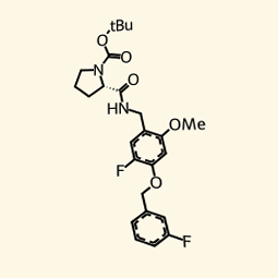 COc1cc(OCc2cccc(F)c2)c(F)cc1CNC(=O)[C@@H]1CCCN1C(=O)OC(C)(C)C